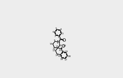 O=C(c1ccccc1)N1CCCC2(CCc3ccccc3C2=O)C1